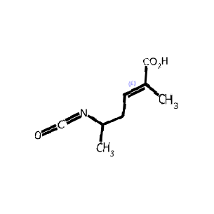 C/C(=C\CC(C)N=C=O)C(=O)O